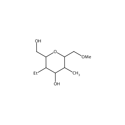 CCC1C(CO)OC(COC)C(C)C1O